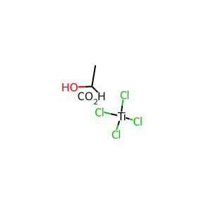 CC(O)C(=O)O.[Cl][Ti]([Cl])([Cl])[Cl]